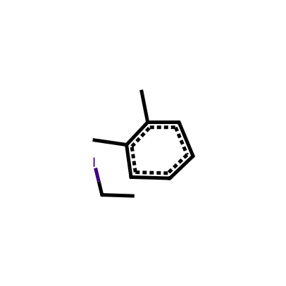 CCI.Cc1ccccc1C